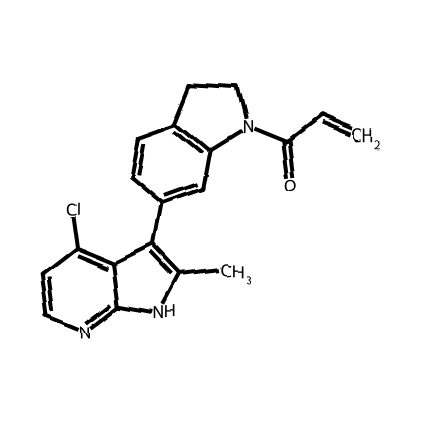 C=CC(=O)N1CCc2ccc(-c3c(C)[nH]c4nccc(Cl)c34)cc21